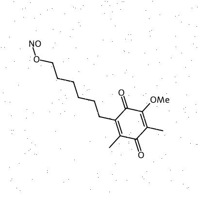 COC1=C(C)C(=O)C(C)=C(CCCCCCON=O)C1=O